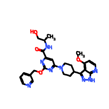 COc1ccnc2[nH]nc(C3CCN(c4cc(C(=O)N[C@H](C)CO)nc(OCc5cccnc5)n4)CC3)c12